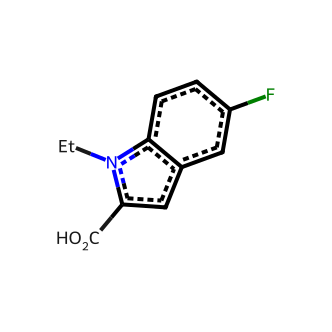 CCn1c(C(=O)O)cc2cc(F)ccc21